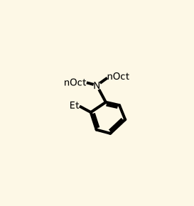 CCCCCCCCN(CCCCCCCC)c1ccccc1CC